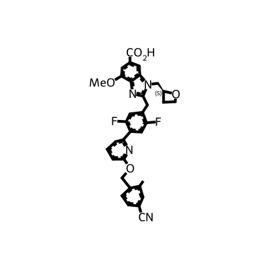 COc1cc(C(=O)O)cc2c1nc(Cc1cc(F)c(-c3cccc(OCc4ccc(C#N)cc4C)n3)cc1F)n2C[C@@H]1CCO1